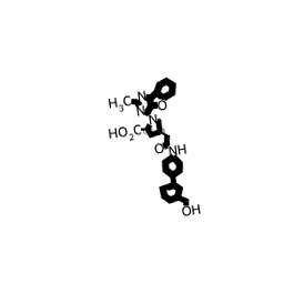 Cc1nc(N2C[C@@H](CC(=O)Nc3ccc(-c4cccc(CO)c4)cc3)C[C@H]2C(=O)O)c2oc3ccccc3c2n1